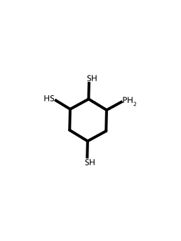 PC1CC(S)CC(S)C1S